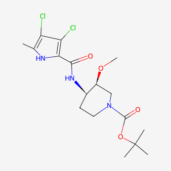 CO[C@H]1CN(C(=O)OC(C)(C)C)CC[C@H]1NC(=O)c1[nH]c(C)c(Cl)c1Cl